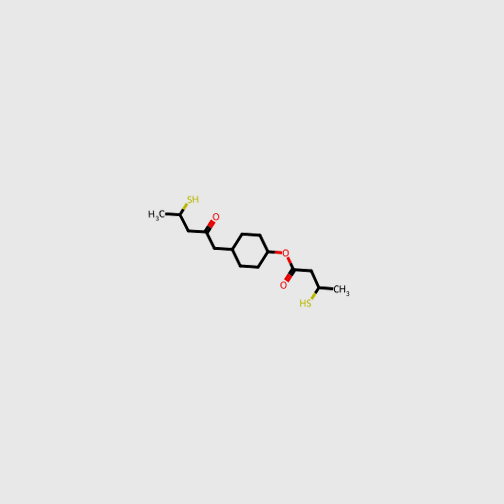 CC(S)CC(=O)CC1CCC(OC(=O)CC(C)S)CC1